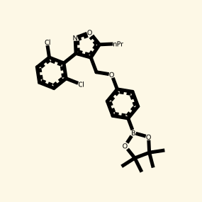 CCCc1onc(-c2c(Cl)cccc2Cl)c1COc1ccc(B2OC(C)(C)C(C)(C)O2)cc1